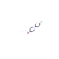 NC(=O)C1CCN([C@@H]2CC[C@H](C(F)(F)F)OC2)CC1